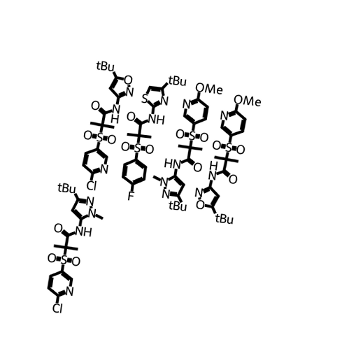 CC(C)(C)c1cc(NC(=O)C(C)(C)S(=O)(=O)c2ccc(Cl)nc2)no1.CC(C)(C)c1csc(NC(=O)C(C)(C)S(=O)(=O)c2ccc(F)cc2)n1.COc1ccc(S(=O)(=O)C(C)(C)C(=O)Nc2cc(C(C)(C)C)nn2C)cn1.COc1ccc(S(=O)(=O)C(C)(C)C(=O)Nc2cc(C(C)(C)C)on2)cn1.Cn1nc(C(C)(C)C)cc1NC(=O)C(C)(C)S(=O)(=O)c1ccc(Cl)nc1